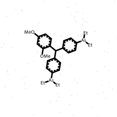 CC[As](CC)c1ccc(C(c2ccc([As](CC)CC)cc2)c2ccc(OC)cc2OC)cc1